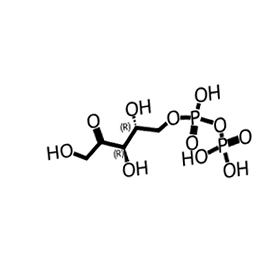 O=C(CO)[C@H](O)[C@H](O)COP(=O)(O)OP(=O)(O)O